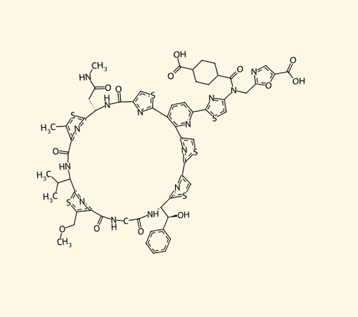 CNC(=O)C[C@@H]1NC(=O)c2csc(n2)-c2ccc(-c3nc(N(Cc4ncc(C(=O)O)o4)C(=O)C4CCC(C(=O)O)CC4)cs3)nc2-c2csc(n2)-c2csc(n2)[C@H]([C@@H](O)c2ccccc2)NC(=O)CNC(=O)c2nc(sc2COC)C(C(C)C)NC(=O)c2nc1sc2C